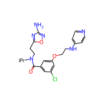 CC(C)N(CCc1nc(N)no1)C(=O)c1cc(Cl)cc(OCCNc2ccncc2)c1